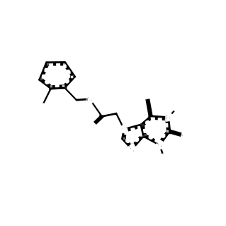 Cn1c(=O)c2c(ncn2CC(=O)NCc2ccccc2Cl)n(C)c1=O